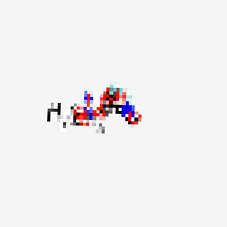 CC(C)(C)OC(=O)NCCOc1ccc(C(=C(CC(F)(F)F)B(O)O)c2ccc3c(c2)c(F)nn3C2CCCCO2)cc1